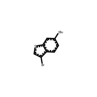 CC(C)(C)c1ccc2c(Br)csc2c1